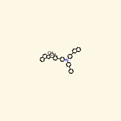 CC1(C)C(c2ccc(-c3ccc(N(c4ccc(-c5ccccc5)cc4)c4ccc(-c5ccc6ccccc6c5)cc4)cc3)cc2)=Cc2c1ccc1ccccc21